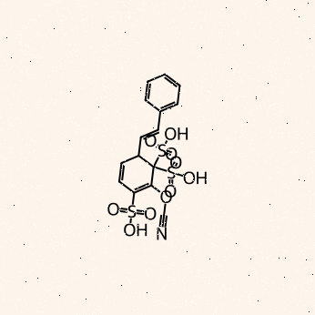 N#COC1=C(S(=O)(=O)O)C=CC(C=Cc2ccccc2)C1(S(=O)(=O)O)S(=O)(=O)O